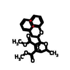 COC(=O)C1=C(C(=O)OC)C2(C(Cc3ccccc3)Oc3ccccc3)OC(C)C1O2